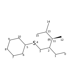 CCC(CSC1CCCCC1)[C@H](C)C(C)C